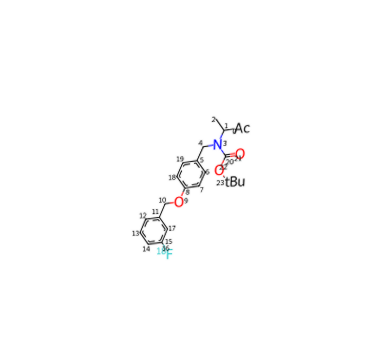 CC(=O)C(C)N(Cc1ccc(OCc2cccc([18F])c2)cc1)C(=O)OC(C)(C)C